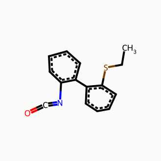 CCSc1ccccc1-c1ccccc1N=C=O